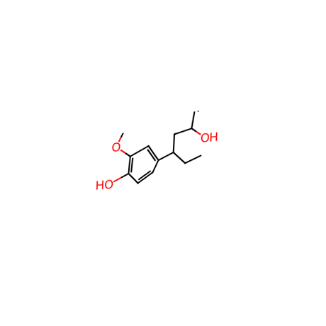 [CH2]C(O)CC(CC)c1ccc(O)c(OC)c1